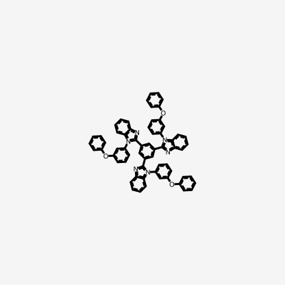 c1ccc(Oc2cccc(-n3c(-c4cc(-c5nc6ccccc6n5-c5cccc(Oc6ccccc6)c5)cc(-c5nc6ccccc6n5-c5cccc(Oc6ccccc6)c5)c4)nc4ccccc43)c2)cc1